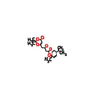 C=C(C)C1C=CC(C)(OC(=O)CC(=O)CC2=CC(=O)OC(C)(C)O2)CC1